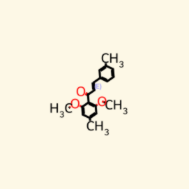 COc1cc(C)cc(OC)c1C(=O)/C=C/c1cccc(C)c1